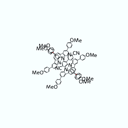 COc1ccc(-c2ccc3c(c2)c2cc(-c4ccc(OC)cc4)ccc2n3-c2c(C#N)c(-n3c4ccc(-c5ccc(OC)cc5)cc4c4cc(-c5ccc(OC)cc5)ccc43)c(-n3c4ccc(-c5ccc(OC)cc5)cc4c4cc(-c5ccc(OC)cc5)ccc43)c(-c3ccc(C#N)nc3)c2-n2c3ccc(-c4ccc(OC)cc4)cc3c3cc(-c4ccc(OC)cc4)ccc32)cc1